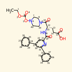 CCOC(=O)ON1CCN(C(=O)[C@H](CCC(=O)O)NC(=O)c2cc(-c3ccccc3)cc(-c3ccccc3)n2)CC1